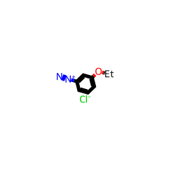 CCOc1cccc([N+]#N)c1.[Cl-]